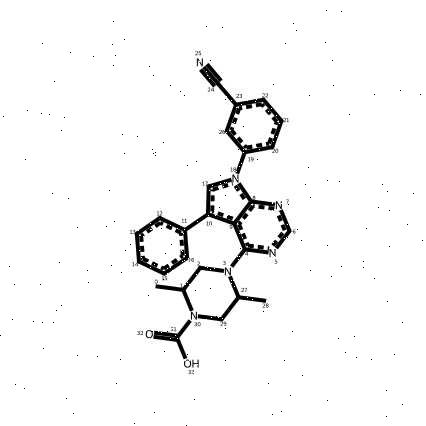 CC1CN(c2ncnc3c2c(-c2ccccc2)cn3-c2cccc(C#N)c2)C(C)CN1C(=O)O